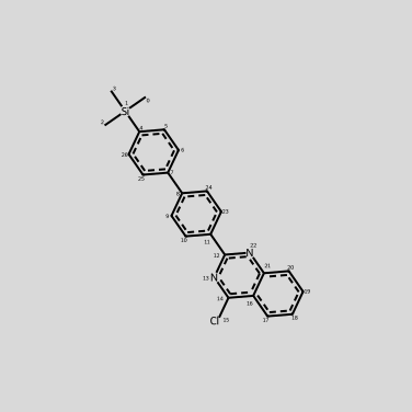 C[Si](C)(C)c1ccc(-c2ccc(-c3nc(Cl)c4ccccc4n3)cc2)cc1